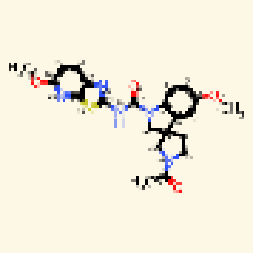 COc1ccc2c(c1)C1(CCN(C(C)=O)C1)CN2C(=O)Nc1nc2ccc(OC)nc2s1